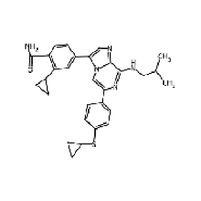 CC(C)CNc1nc(-c2ccc(SC3CC3)cc2)cn2c(-c3ccc(C(N)=O)c(C4CC4)c3)cnc12